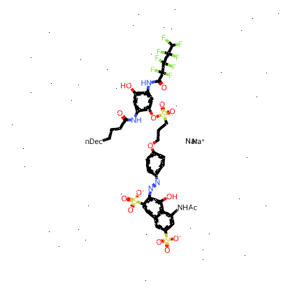 CCCCCCCCCCCCCC(=O)Nc1cc(O)c(NC(=O)C(F)(F)C(F)(F)C(F)(F)C(F)F)cc1OS(=O)(=O)CCCOc1ccc(N=Nc2c(S(=O)(=O)[O-])cc3cc(S(=O)(=O)[O-])cc(NC(C)=O)c3c2O)cc1.[Na+].[Na+]